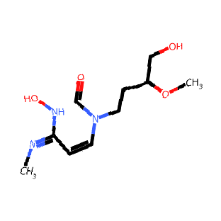 C/N=C(\C=C/N(C=O)CCC(CO)OC)NO